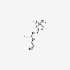 CC(OCCO)OCC1COC(C)(C)O1